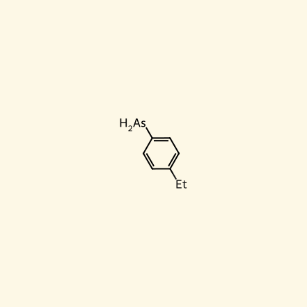 CCc1ccc([AsH2])cc1